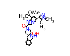 CO[C@H](C)c1cc(-c2cnn(C)c2C)cn2cc(C(=O)N3CC[C@]4(Cc5ccccc5CN4)[C@H](O)C3)nc12